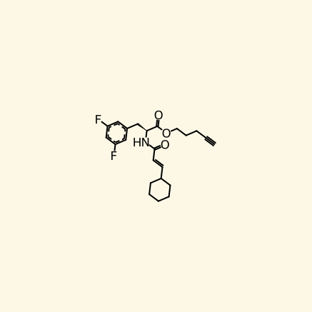 C#CCCCOC(=O)[C@H](Cc1cc(F)cc(F)c1)NC(=O)/C=C/C1CCCCC1